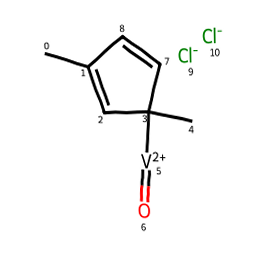 CC1=C[C](C)([V+2]=[O])C=C1.[Cl-].[Cl-]